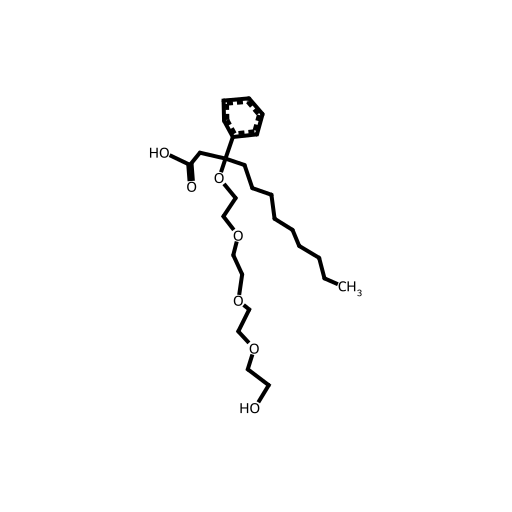 CCCCCCCCCC(CC(=O)O)(OCCOCCOCCOCCO)c1ccccc1